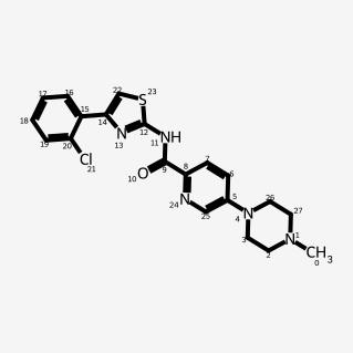 CN1CCN(c2ccc(C(=O)Nc3nc(-c4ccccc4Cl)cs3)nc2)CC1